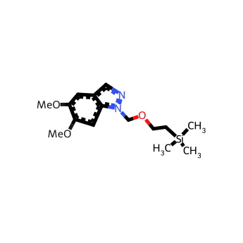 COc1cc2cnn(COCC[Si](C)(C)C)c2cc1OC